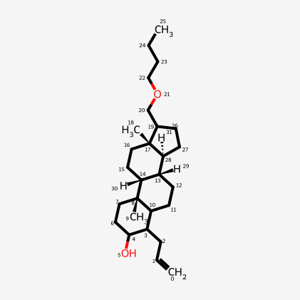 C=CCC1C(O)CC[C@@]2(C)C1CC[C@@H]1[C@H]2CC[C@]2(C)C(COCCCC)CC[C@@H]12